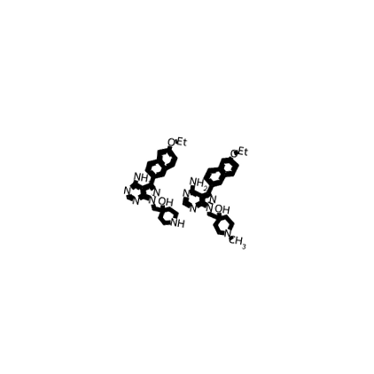 CCOc1ccc2cc(-c3nn(CC4(O)CCN(C)CC4)c4ncnc(N)c34)ccc2c1.CCOc1ccc2cc(-c3nn(CC4(O)CCNCC4)c4ncnc(N)c34)ccc2c1